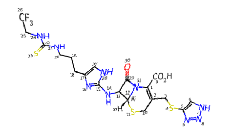 O=C(O)C1=C(CSc2c[nH]nn2)CS[C@@H]2C(Nc3nc(CCCNC(=S)NCC(F)(F)F)c[nH]3)C(=O)N12